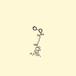 CC1(C)OC(=O)C(CC(=O)NCCCCCC(=O)Nc2cccc(-c3cc#ccc3)c2)O1